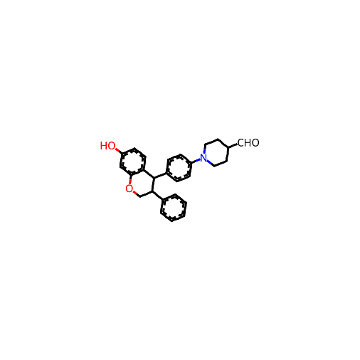 O=CC1CCN(c2ccc(C3c4ccc(O)cc4OCC3c3ccccc3)cc2)CC1